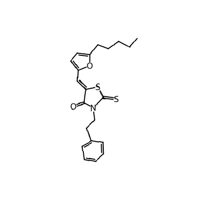 CCCCCc1ccc(C=C2SC(=S)N(CCc3ccccc3)C2=O)o1